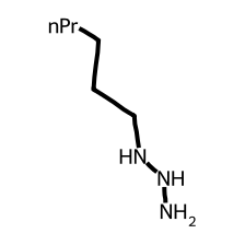 CCCCCCNNN